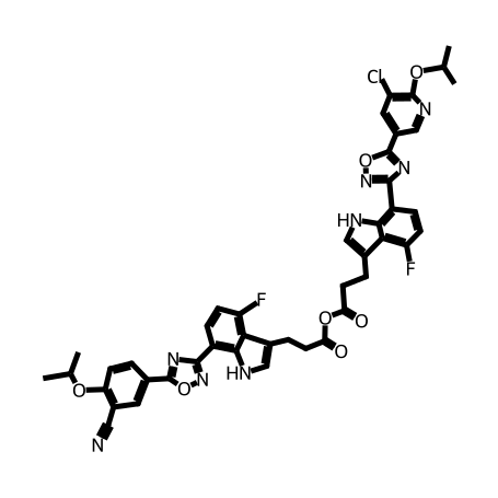 CC(C)Oc1ccc(-c2nc(-c3ccc(F)c4c(CCC(=O)OC(=O)CCc5c[nH]c6c(-c7noc(-c8cnc(OC(C)C)c(Cl)c8)n7)ccc(F)c56)c[nH]c34)no2)cc1C#N